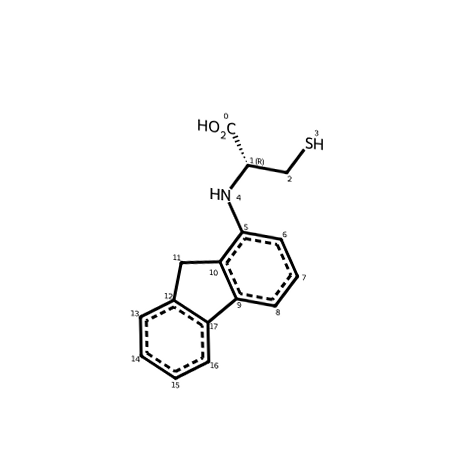 O=C(O)[C@H](CS)Nc1cccc2c1Cc1ccccc1-2